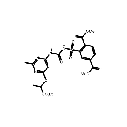 CCOC(=O)C(C)Oc1nc(C)nc(NC(=O)NS(=O)(=O)c2cc(C(=O)OC)ccc2C(=O)OC)n1